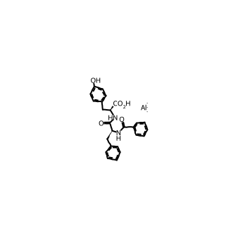 O=C(N[C@@H](Cc1ccccc1)C(=O)N[C@@H](Cc1ccc(O)cc1)C(=O)O)c1ccccc1.[Al]